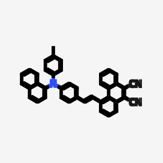 Cc1ccc(N(c2ccc(C=Cc3cccc4c(C#N)c(C#N)c5ccccc5c34)cc2)c2cccc3ccccc23)cc1